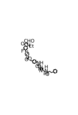 CCn1cc(C=O)c(=O)c2cc(F)c(N3CCN(C(=O)OCc4ccc(NC(=O)Cn5cc(C(NC(=O)CCc6ccccc6)C(C)C)nn5)cc4)CC3)cc21